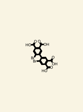 O=C(O)c1cc(Br)c(-c2cc(C(=O)O)c(C(=O)O)cc2Br)cc1C(=O)O